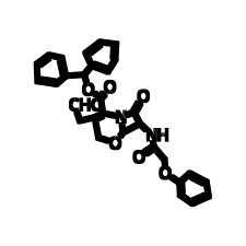 O=CCC1=C(C(=O)OC(c2ccccc2)c2ccccc2)N2C(=O)C(NC(=O)COc3ccccc3)C2OC1